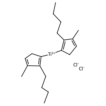 CCCCC1=[C]([Ti+2][C]2=C(CCCC)C(C)=CC2)CC=C1C.[Cl-].[Cl-]